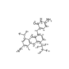 Cc1c(C#N)cc(C(F)F)cc1Oc1c(C(F)(F)C(F)F)ncn(Cc2cnc(N)[nH]c2=O)c1=O